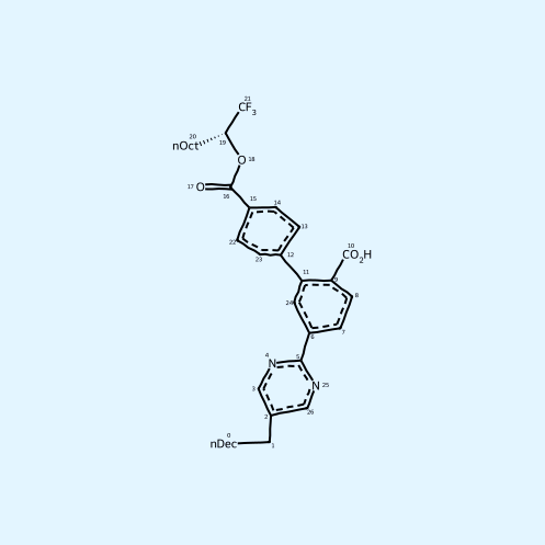 CCCCCCCCCCCc1cnc(-c2ccc(C(=O)O)c(-c3ccc(C(=O)O[C@H](CCCCCCCC)C(F)(F)F)cc3)c2)nc1